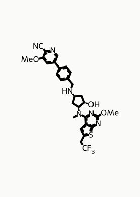 COc1nc(N(C)[C@H]2C[C@@H](NCc3ccc(-c4cnc(C#N)c(OC)c4)cc3)C[C@H]2O)c2cc(CC(F)(F)F)sc2n1